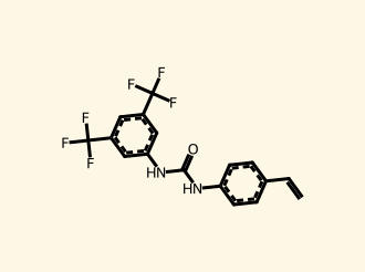 C=Cc1ccc(NC(=O)Nc2cc(C(F)(F)F)cc(C(F)(F)F)c2)cc1